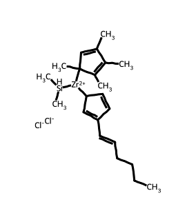 CCCCC=CC1=C[CH]([Zr+2]([SiH](C)C)[C]2(C)C=C(C)C(C)=C2C)C=C1.[Cl-].[Cl-]